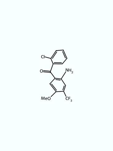 COc1cc(C(=O)c2ccccc2Cl)c(N)cc1C(F)(F)F